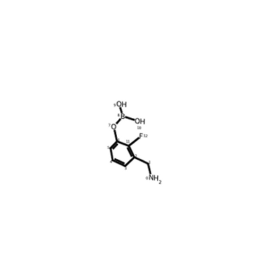 NCc1cccc(OB(O)O)c1F